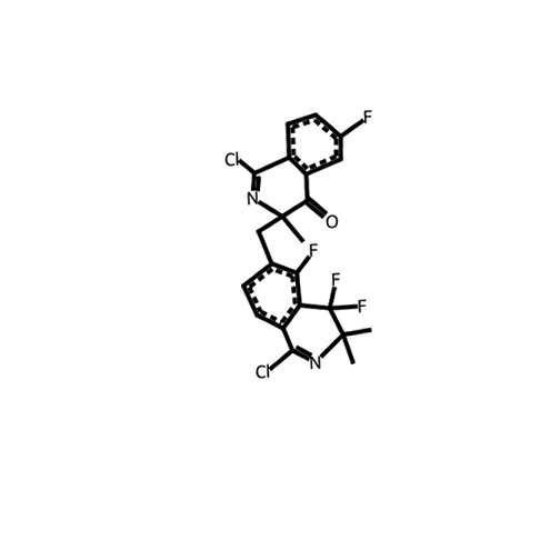 CC1(Cc2ccc3c(c2F)C(F)(F)C(C)(C)N=C3Cl)N=C(Cl)c2ccc(F)cc2C1=O